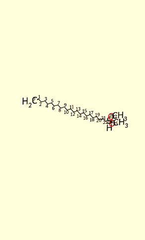 C=CCCCCCCCCCCCCCCCCCCCCC[SiH](OC)OC